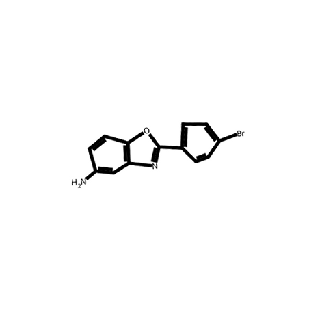 Nc1ccc2oc(-c3ccc(Br)cc3)nc2c1